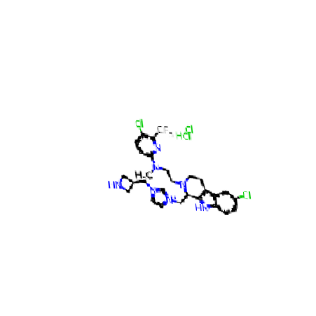 CN(CCN1CCc2c([nH]c3ccc(Cl)cc23)C1C[n+]1ccn(CC2CNC2)c1)c1ccc(Cl)c(C(F)(F)F)n1.Cl.[Cl-]